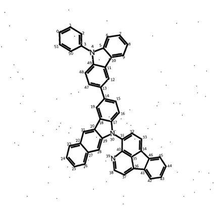 c1ccc(-n2c3ccccc3c3cc(-c4ccc5c(c4)c4cc6ccccc6cc4n5-c4ccc5c6c(ccnc46)-c4ccccc4-5)ccc32)cc1